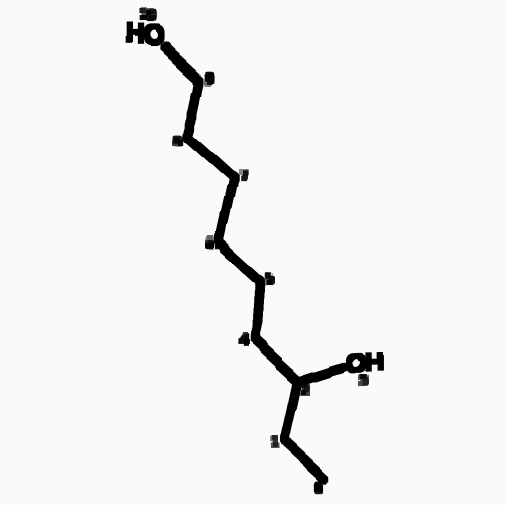 CCC(O)CC[CH]CCCO